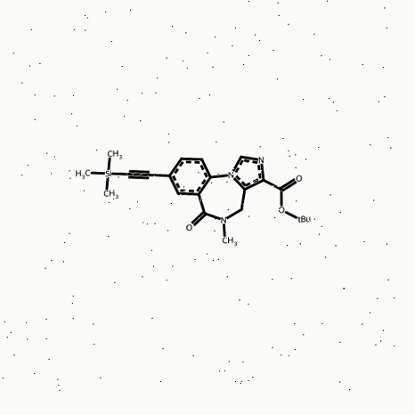 CN1Cc2c(C(=O)OC(C)(C)C)ncn2-c2ccc(C#C[Si](C)(C)C)cc2C1=O